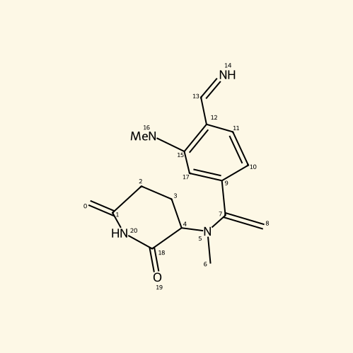 C=C1CCC(N(C)C(=C)c2ccc(C=N)c(NC)c2)C(=O)N1